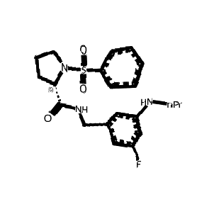 CCCNc1cc(F)cc(CNC(=O)[C@@H]2CCCN2S(=O)(=O)c2ccccc2)c1